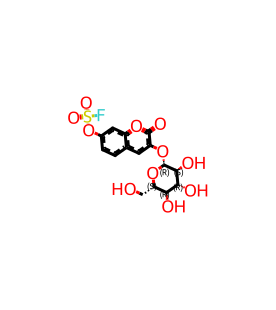 O=c1oc2cc(OS(=O)(=O)F)ccc2cc1O[C@H]1O[C@@H](CO)[C@H](O)[C@@H](O)[C@@H]1O